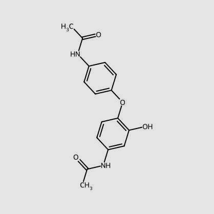 CC(=O)Nc1ccc(Oc2ccc(NC(C)=O)cc2O)cc1